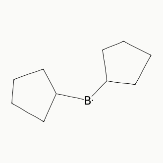 [B](C1CCCC1)C1CCCC1